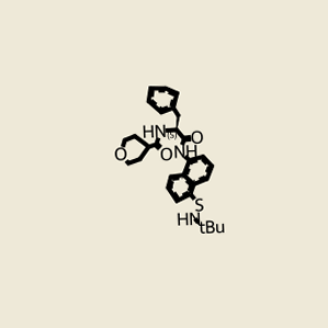 CC(C)(C)NSc1cccc2c(NC(=O)[C@H](Cc3ccccc3)NC(=O)C3CCOCC3)cccc12